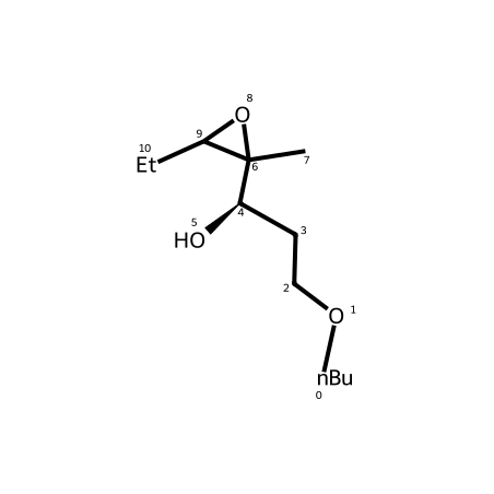 CCCCOCC[C@@H](O)C1(C)OC1CC